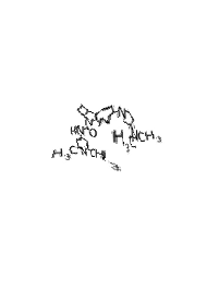 Cc1cc(NC(=O)N2c3nc(N4CC[C@H](N(C)C)C4)ccc3C3CCC32)cc(C)n1